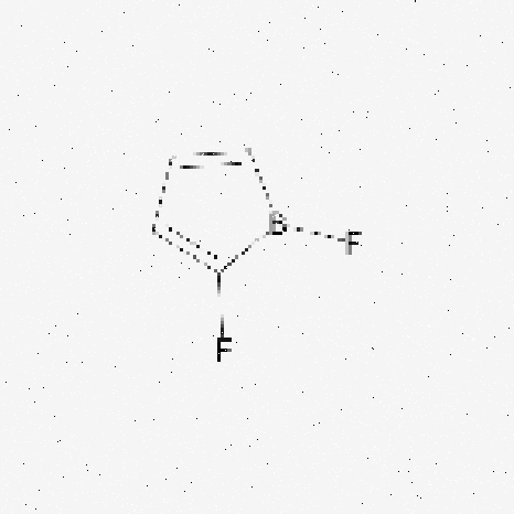 FB1C=CC=C1F